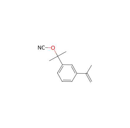 C=C(C)c1cccc(C(C)(C)OC#N)c1